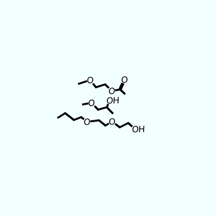 CCCCOCCOCCO.COCC(C)O.COCCOC(C)=O